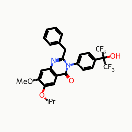 COc1cc2nc(Cc3ccccc3)n(-c3ccc(C(O)(C(F)(F)F)C(F)(F)F)cc3)c(=O)c2cc1OC(C)C